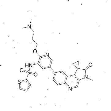 CN(C)CCCOc1ncc(-c2ccc3ncc4c(c3c2)C2(CC2)C(=O)N4C)cc1NS(=O)(=O)c1cccs1